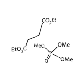 CCOC(=O)CCC(=O)OCC.COP(=O)(OC)OC